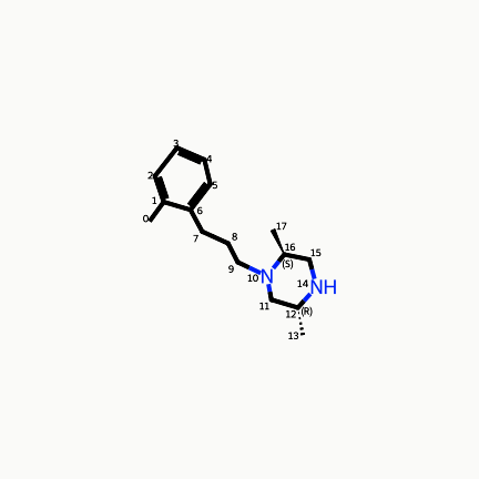 Cc1ccccc1CCCN1C[C@@H](C)NC[C@@H]1C